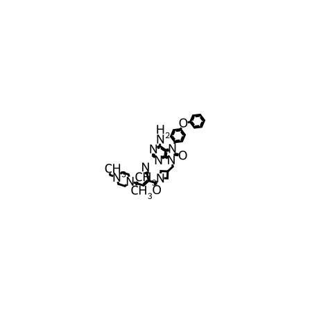 CCN1CCN(C(C)(C)C=C(C#N)C(=O)N2CC(Cn3c(=O)n(-c4ccc(Oc5ccccc5)cc4)c4c(N)ncnc43)C2)CC1